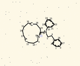 c1ccc(CCN(/C2=N\CCCCCCCCCCC2)c2ccccc2)cc1